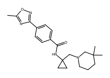 Cc1nc(-c2ccc(C(=O)NC3(CN4CCCC(C)(C)C4)CC3)cc2)no1